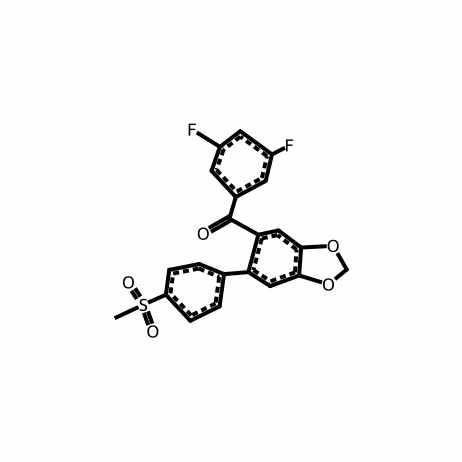 CS(=O)(=O)c1ccc(-c2cc3c(cc2C(=O)c2cc(F)cc(F)c2)OCO3)cc1